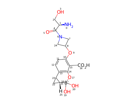 N[C@H](CO)C(=O)N1CC(Oc2ccc3c(c2C(=O)O)O[B-](O)(O)[C@@H]2CC32)C1